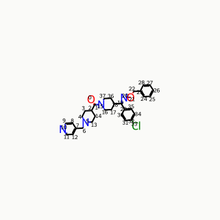 O=C(C1CCN(Cc2ccncc2)CC1)N1CCC(C(=NOCc2ccccc2)c2ccc(Cl)cc2)CC1